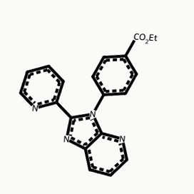 CCOC(=O)c1ccc(-n2c(-c3ccccn3)nc3cccnc32)cc1